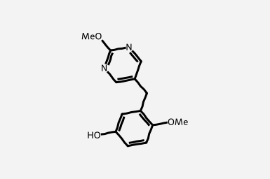 COc1ncc(Cc2cc(O)ccc2OC)cn1